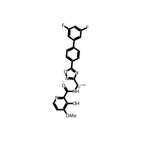 COc1ccnc(C(=O)N[C@@H](C)c2noc(-c3ccc(-c4cc(F)cc(F)c4)cc3)n2)c1O